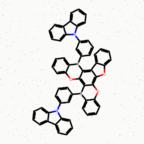 c1cc(B2c3ccccc3Oc3c2c2c(c4c3oc3ccccc34)B(c3cccc(-n4c5ccccc5c5ccccc54)c3)c3ccccc3O2)cc(-n2c3ccccc3c3ccccc32)c1